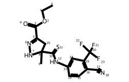 CCOC(=O)C1=NNC(C)(C(=S)Nc2ccc(C#N)c(C(F)(F)F)c2)C1